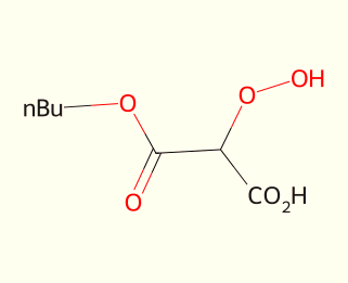 CCCCOC(=O)C(OO)C(=O)O